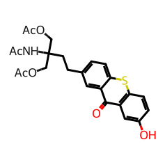 CC(=O)NC(CCc1ccc2sc3ccc(O)cc3c(=O)c2c1)(COC(C)=O)COC(C)=O